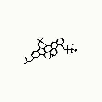 Cc1c2c(c(CC(C)(C)C)c3ccc(CC(C)C)cc13)Sc1cc3cccc(CC(C)(C)C(F)(F)F)c3c3cc[n+](C)c-2c13